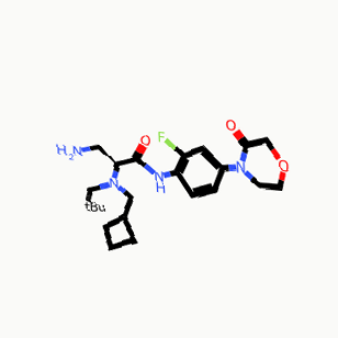 CC(C)(C)CN(CC1CCC1)[C@@H](CN)C(=O)Nc1ccc(N2CCOCC2=O)cc1F